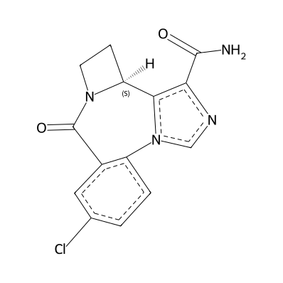 NC(=O)c1ncn2c1[C@@H]1CCN1C(=O)c1cc(Cl)ccc1-2